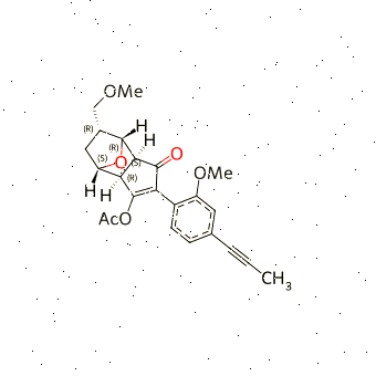 CC#Cc1ccc(C2=C(OC(C)=O)[C@@H]3[C@H](C2=O)[C@@H]2O[C@H]3C[C@@H]2COC)c(OC)c1